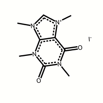 Cn1c(=O)c2c(n(C)c[n+]2C)n(C)c1=O.[I-]